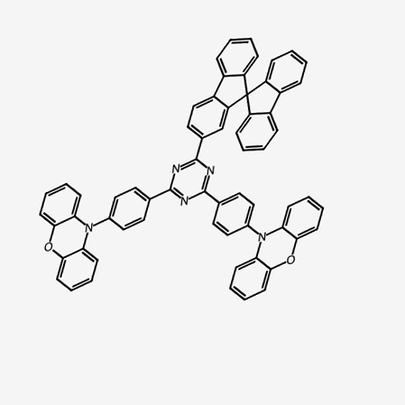 c1ccc2c(c1)Oc1ccccc1N2c1ccc(-c2nc(-c3ccc(N4c5ccccc5Oc5ccccc54)cc3)nc(-c3ccc4c(c3)C3(c5ccccc5-c5ccccc53)c3ccccc3-4)n2)cc1